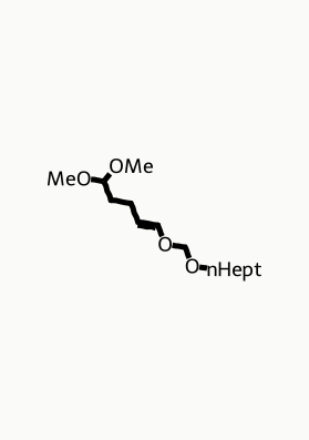 CCCCCCCOCOC=CCCC(OC)OC